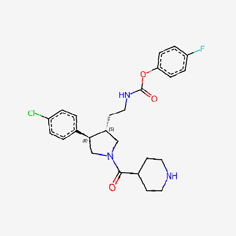 O=C(NCC[C@@H]1CN(C(=O)C2CCNCC2)C[C@H]1c1ccc(Cl)cc1)Oc1ccc(F)cc1